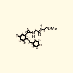 COCCNC(=O)CNC1CC1c1cc(F)cc(F)c1OCc1ccccc1